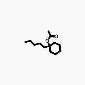 CCCCCC1(OC(C)=O)CCCCC1